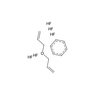 C=CCOCC=C.F.F.F.F.F.c1ccccc1